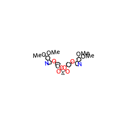 COc1cc2nccc(Oc3ccc(OC(=O)C4(C(=O)Oc5ccc(Oc6ccnc7cc(OC)c(OC)cc67)cc5)CC4)cc3)c2cc1OC